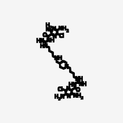 N=C(NCCCCNCC1CCN(CCCCNC(=N)NC(=O)c2nc(Cl)c(N)nc2N)CC1)NC(=O)c1nc(Cl)c(N)nc1N